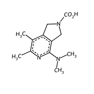 Cc1nc(N(C)C)c2c(c1C)CN(C(=O)O)C2